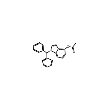 CC(=O)Oc1cccc2c1ccn2C(c1ccccc1)c1ccccc1